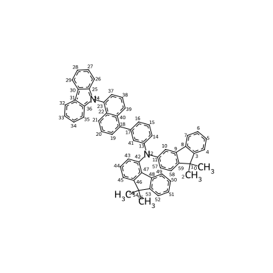 CC1(C)c2ccccc2-c2cc(N(c3cccc(-c4cccc5c(-n6c7ccccc7c7ccccc76)cccc45)c3)c3cccc4c3-c3ccccc3C4(C)C)ccc21